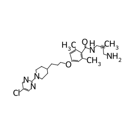 Cc1cc(OCCCC2CCN(c3ncc(Cl)cn3)CC2)cc(C)c1C(=O)NC[C@@H](C)CN